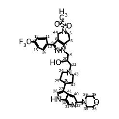 CS(=O)(=O)N1CCc2c(c(-c3ccc(C(F)(F)F)cc3)nn2CC(O)CN2CCC(c3c[nH]c4cnc(N5CCOCC5)cc34)CC2)C1